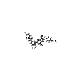 CCCc1c2nc(-c3cc(S(=O)(=O)N4CCN(C)CC4)ccc3OCC)[nH]c(=O)c2nn1Cc1ccc([N+](=O)[O-])cc1